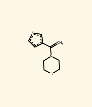 C=C(c1ccsc1)N1CCOCC1